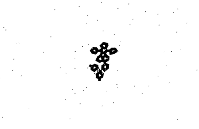 Cc1ccc(N(c2ccc(C)cc2)c2cccc(-c3ccc4c5c(cccc35)-c3c-4c(-c4ccccc4)c4ccccc4c3-c3ccccc3)c2)cc1